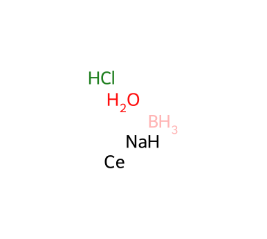 B.Cl.O.[Ce].[NaH]